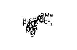 COc1ccc(-c2nc(C(=O)NC(C(=O)N3CCOCC3)c3cccnc3)c([C@H](C)N)o2)c2ccc(C(F)(F)F)nc12